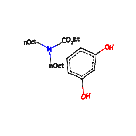 CCCCCCCCN(CCCCCCCC)C(=O)OCC.Oc1cccc(O)c1